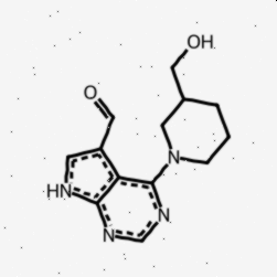 O=Cc1c[nH]c2ncnc(N3CCCC(CO)C3)c12